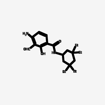 CCC1(CC)CC(NC(=O)c2ccc(N)c(C=O)c2O)CC(CC)(CC)C1